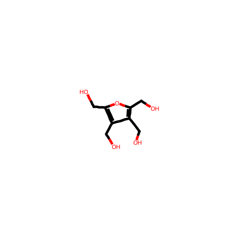 OCc1oc(CO)c(CO)c1CO